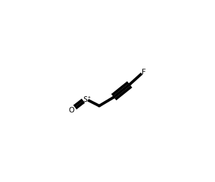 O=[S+]CC#CF